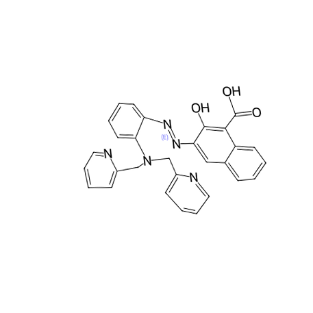 O=C(O)c1c(O)c(/N=N/c2ccccc2N(Cc2ccccn2)Cc2ccccn2)cc2ccccc12